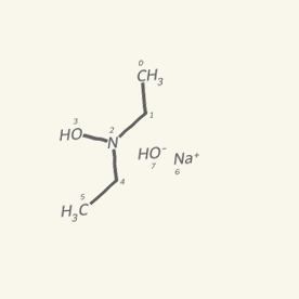 CCN(O)CC.[Na+].[OH-]